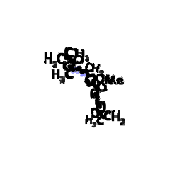 C=C(C)C(=O)OCCOC(=O)c1ccc(/C(C)=C/C=C(\C)OC(=O)C(=C)C)cc1OC